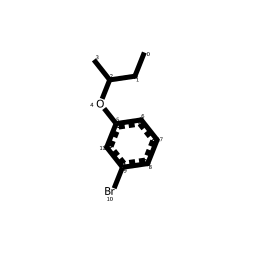 CCC(C)Oc1c[c]cc(Br)c1